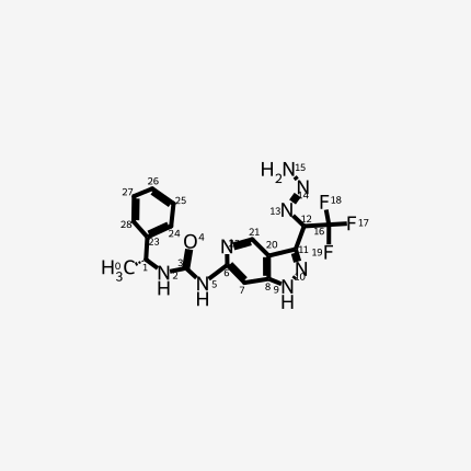 C[C@@H](NC(=O)Nc1cc2[nH]nc(C(N=NN)C(F)(F)F)c2cn1)c1ccccc1